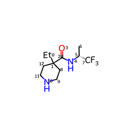 CCC1(C(=O)N[C@H](C)C(F)(F)F)CCNCC1